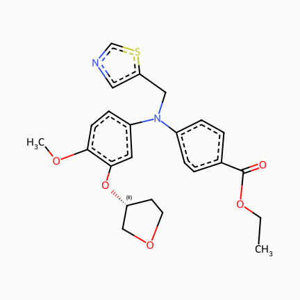 CCOC(=O)c1ccc(N(Cc2cncs2)c2ccc(OC)c(O[C@@H]3CCOC3)c2)cc1